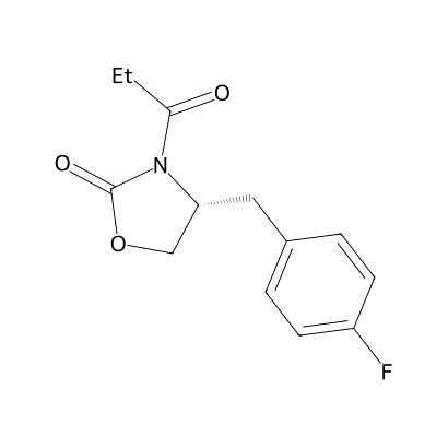 CCC(=O)N1C(=O)OC[C@H]1Cc1ccc(F)cc1